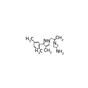 C=C(Cn1cc(C)c(-c2cc(C)ccc2C)n1)N1CC(N)C1